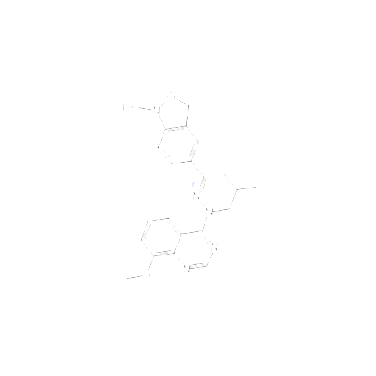 COc1cccc2c(N(CC(C)C)/N=C/c3ccc4c(c3)CON4O)ncnc12